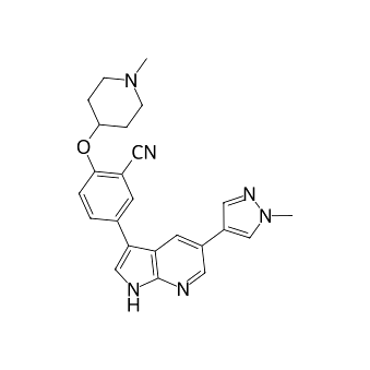 CN1CCC(Oc2ccc(-c3c[nH]c4ncc(-c5cnn(C)c5)cc34)cc2C#N)CC1